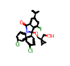 C=C(C)c1cc(F)c2c(c1)C(=O)N(c1ccc(Cl)cc1)C2(OCC1(CO)CC1)c1ccc(Cl)cc1